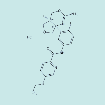 Cl.NC1=N[C@@]2(c3cc(NC(=O)c4ccc(OCC(F)(F)F)cn4)ccc3F)COC[C@@]2(F)CO1